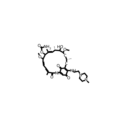 COC1/C=C\C=C(/C)C(=O)NC2=CC(=O)C(NCCN3CCN(C)CC3)=C(C[C@@H](C)CC(OC)C(O)[C@@H](C)/C=C(\C)C1OC(N)=O)C2=O